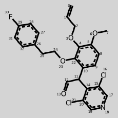 C=CCOc1c(OC)ccc(C(C=O)c2c(Cl)cncc2Cl)c1OCCc1ccc(F)cc1